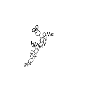 COc1nc2nc(C)nc(N[C@H](C)c3cccc(C(F)(F)C4CCN(C(C)C)CC4)c3F)c2cc1C1CCS(=O)(=O)CC1